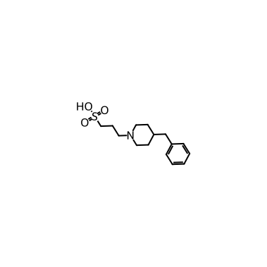 O=S(=O)(O)CCCN1CCC(Cc2ccccc2)CC1